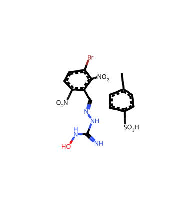 Cc1ccc(S(=O)(=O)O)cc1.N=C(NO)NN=Cc1c([N+](=O)[O-])ccc(Br)c1[N+](=O)[O-]